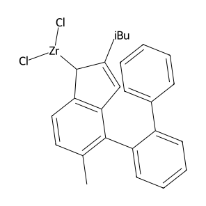 CCC(C)C1=Cc2c(ccc(C)c2-c2ccccc2-c2ccccc2)[CH]1[Zr]([Cl])[Cl]